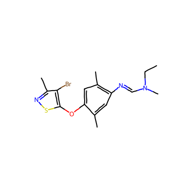 CCN(C)C=Nc1cc(C)c(Oc2snc(C)c2Br)cc1C